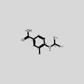 Cc1cc(C(=O)O)ccc1OC(F)F